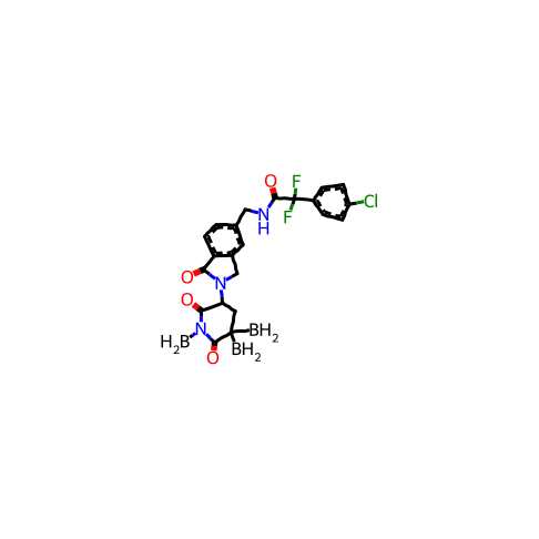 BN1C(=O)C(N2Cc3cc(CNC(=O)C(F)(F)c4ccc(Cl)cc4)ccc3C2=O)CC(B)(B)C1=O